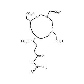 CN(C)NC(=O)CCC(C(=O)O)N1CCN(CC(=O)O)CCN(CC(=O)O)CCN(CC(=O)O)CC1